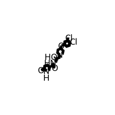 O=C(NC[C@@H](O)CN1CCC(Oc2ccc(Cl)c(Cl)c2)CC1)c1ccc(=O)[nH]c1